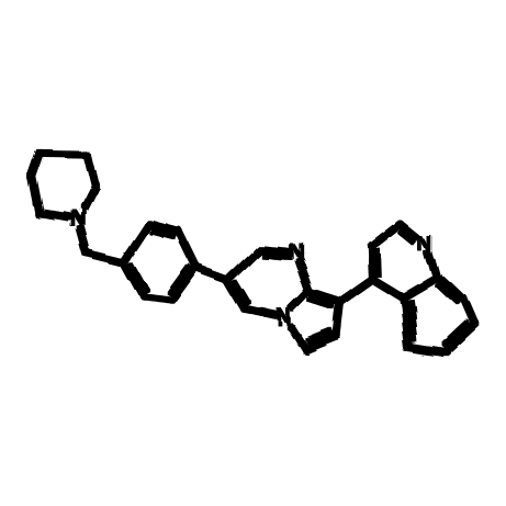 c1ccc2c(-c3ccn4cc(-c5ccc(CN6CCCCC6)cc5)cnc34)ccnc2c1